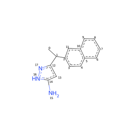 CC(c1ccc2ccccc2c1)c1cc(N)[nH]n1